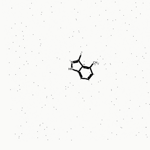 Cc1cccc2[nH]nc(I)c12